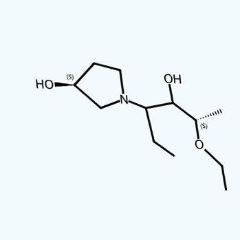 CCO[C@@H](C)C(O)C(CC)N1CC[C@H](O)C1